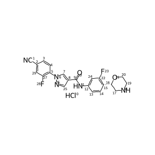 Cl.N#Cc1ccc(-n2cc(C(=O)Nc3ccc([C@H]4CNCCO4)c(F)c3)cn2)c(F)c1